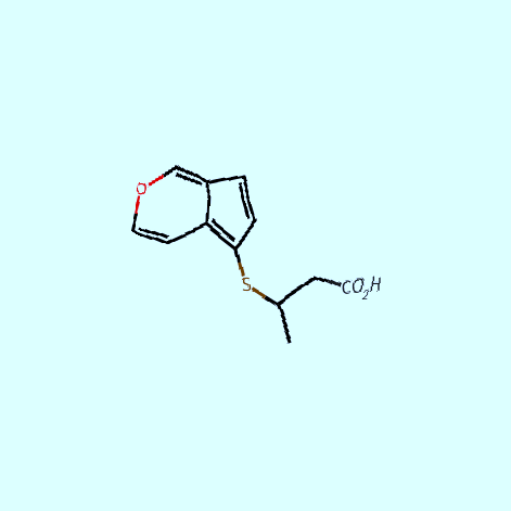 CC(CC(=O)O)Sc1ccc2coccc1-2